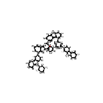 c1ccc(-c2nc(-c3ccc4c(c3)oc3ccccc34)nc(-c3cccc4oc5ccc(-c6ccc7sc8c(-c9ccc%10c(c9)c9ccccc9n%10-c9ccccc9)cccc8c7c6)cc5c34)n2)cc1